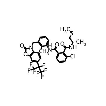 CSC[C@H](C)NC(=O)c1c(Cl)cccc1C(=O)Nc1cccc(Cn2c(=O)oc3cc(C(F)(C(F)(F)F)C(F)(F)F)ccc32)c1C